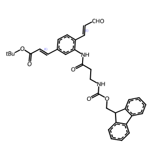 CC(C)(C)OC(=O)/C=C/c1ccc(/C=C/C=O)c(NC(=O)CCNC(=O)OCC2c3ccccc3-c3ccccc32)c1